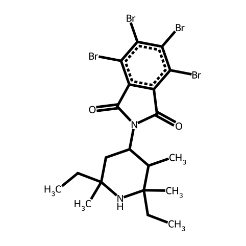 CCC1(C)CC(N2C(=O)c3c(Br)c(Br)c(Br)c(Br)c3C2=O)C(C)C(C)(CC)N1